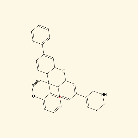 C1=CC2C(C=C1C1=CCCNC1)OC1C=C(c3ccccn3)C=CC1C21c2ccccc2Oc2ccccc21